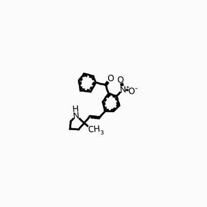 CC1(C=Cc2ccc([N+](=O)[O-])c(C(=O)c3ccccc3)c2)CCCN1